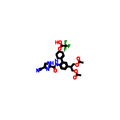 CC(=O)OCC(COC(C)=O)c1ccc(NC(=O)c2nc(C#N)c[nH]2)c(C2=CCCCC2)c1.O=C(O)C(F)(F)F